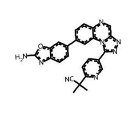 CC(C)(C#N)c1ccc(-c2nnc3cnc4ccc(-c5ccc6nc(N)oc6c5)cc4n23)cn1